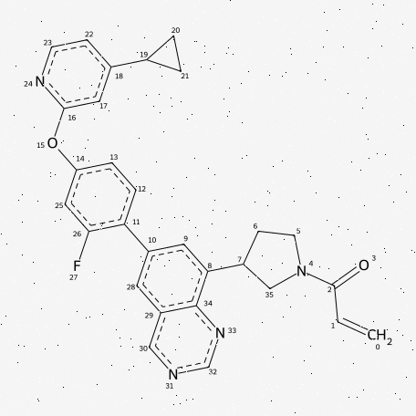 C=CC(=O)N1CCC(c2cc(-c3ccc(Oc4cc(C5CC5)ccn4)cc3F)cc3cncnc23)C1